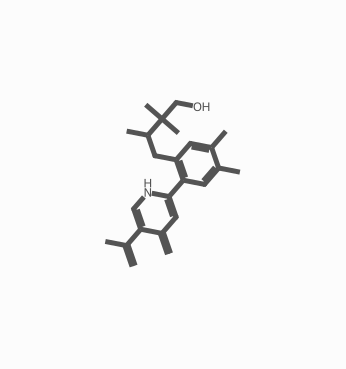 C=C(C)C1=CNC(c2cc(C)c(C)cc2CC(C)C(C)(C)CO)=CC1=C